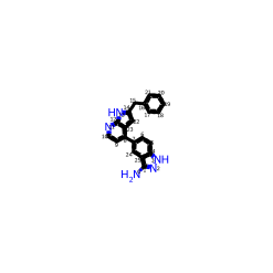 Nc1n[nH]c2ccc(-c3ccnc4[nH]c(Cc5ccccc5)cc34)cc12